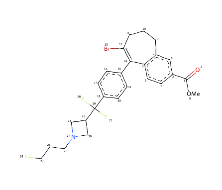 COC(=O)c1ccc2c(c1)CCCC(Br)=C2c1ccc(C(F)(F)C2CN(CCCF)C2)cc1